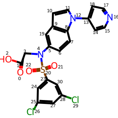 O=C(O)CN(c1ccc2c(ccn2-c2ccncc2)c1)S(=O)(=O)c1cc(Cl)cc(Cl)c1